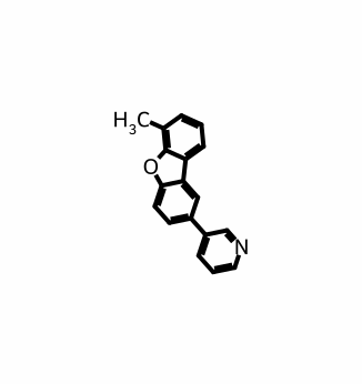 Cc1cccc2c1oc1ccc(-c3cccnc3)cc12